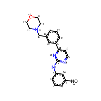 O=Nc1cccc(Nc2nccc(-c3cccc(CN4CCOCC4)c3)n2)c1